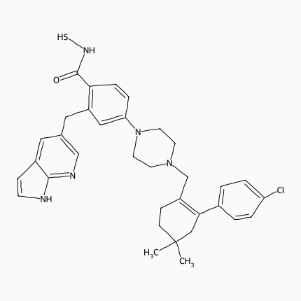 CC1(C)CCC(CN2CCN(c3ccc(C(=O)NS)c(Cc4cnc5[nH]ccc5c4)c3)CC2)=C(c2ccc(Cl)cc2)C1